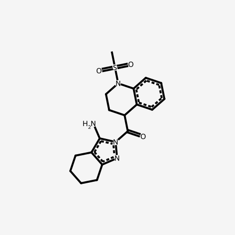 CS(=O)(=O)N1CCC(C(=O)n2nc3c(c2N)CCCC3)c2ccccc21